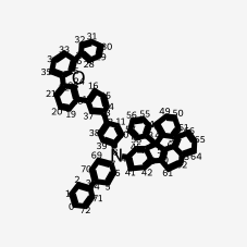 c1ccc(-c2ccc(N(c3ccc(-c4cccc(-c5cccc6c5oc5c(-c7ccccc7)cccc56)c4)cc3)c3ccc4c(c3)C(c3ccccc3)(c3ccccc3)c3c-4ccc4ccccc34)cc2)cc1